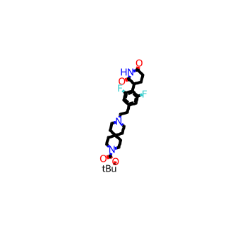 CC(C)(C)OC(=O)N1CCC2(CCN(CCc3cc(F)c(C4CCC(=O)NC4=O)c(F)c3)CC2)CC1